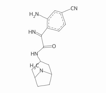 CN1C2CCC1CC(NC(=O)C(=N)c1ccc(C#N)cc1N)C2